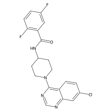 O=C(NC1CCN(c2ncnc3cc(Cl)ccc23)CC1)c1cc(F)ccc1F